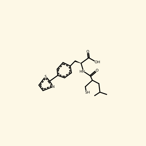 CC(C)CC(CS)C(=O)N[C@@H](Cc1ccc(-c2nccs2)cc1)C(=O)O